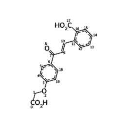 O=C(O)COc1ccc(C(=O)/C=C/c2ccccc2C(=O)O)cc1